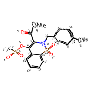 COC(=O)C1=C(OS(=O)(=O)C(F)(F)F)c2ccccc2S(=O)(=O)N1Cc1ccc(OC)cc1